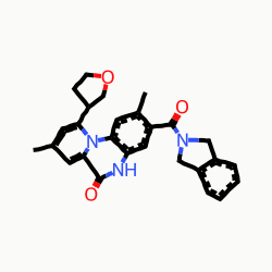 CC1=C=C(C2CCOC2)N2C(=C1)C(=O)Nc1cc(C(=O)N3Cc4ccccc4C3)c(C)cc12